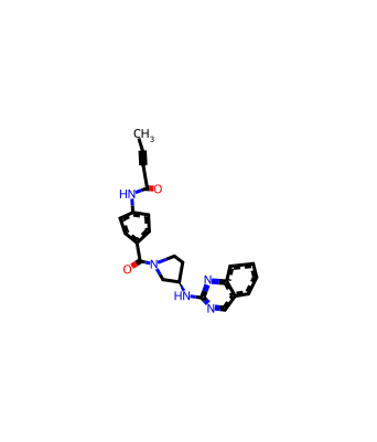 CC#CC(=O)Nc1ccc(C(=O)N2CC[C@@H](Nc3ncc4ccccc4n3)C2)cc1